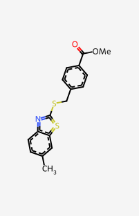 COC(=O)c1ccc(CSc2nc3ccc(C)cc3s2)cc1